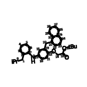 CC(C)Cc1ccccc1Nc1ccc(OCC(=O)OC(C)(C)C)c(Cc2cccc3ccccc23)c1